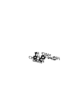 COc1cc(Nc2c(C#N)cnc3cc(OCCCN4CCNCC4)c(OC)cc23)c(C2CC2)cc1Cl